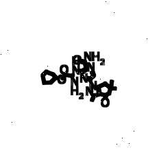 Cc1nn(-c2cnc(C(N)=O)c(NC(N)C(=O)OC3CCCCC3)n2)c2c1C(=O)CC(C)(C)C2